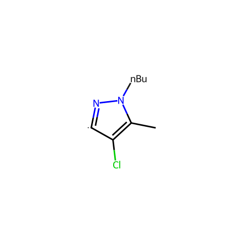 CCCCn1n[c]c(Cl)c1C